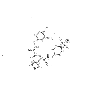 Cc1cc(CNC(=O)c2cc(C(=O)NCC3CCN(S(C)(=O)=O)CC3)n3ncnc3n2)ccc1F